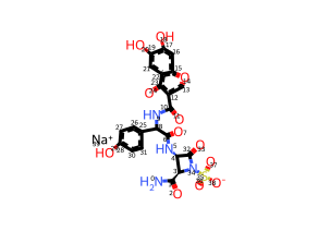 NC(=O)[C@H]1[C@@H](NC(=O)C(NC(=O)c2coc3cc(O)c(O)cc3c2=O)c2ccc(O)cc2)C(=O)N1S(=O)(=O)[O-].[Na+]